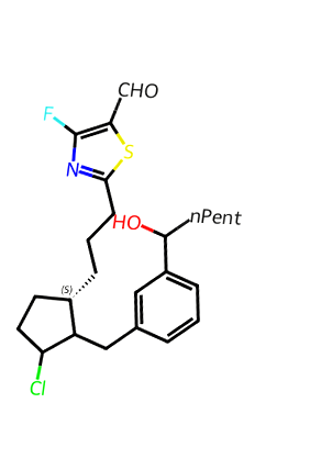 CCCCCC(O)c1cccc(CC2C(Cl)CC[C@@H]2CCCc2nc(F)c(C=O)s2)c1